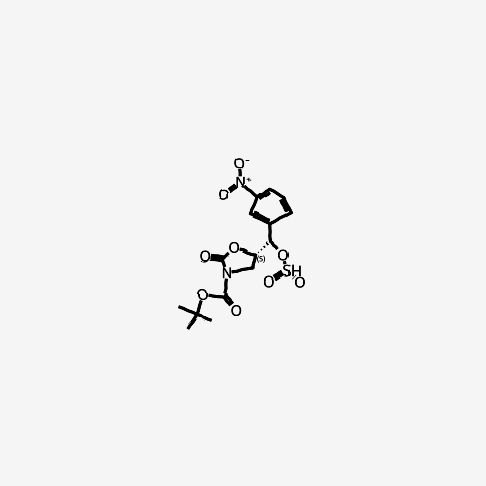 CC(C)(C)OC(=O)N1C[C@@H](C(O[SH](=O)=O)c2cccc([N+](=O)[O-])c2)OC1=O